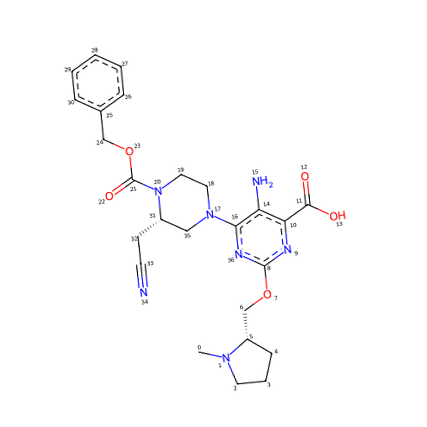 CN1CCC[C@H]1COc1nc(C(=O)O)c(N)c(N2CCN(C(=O)OCc3ccccc3)[C@@H](CC#N)C2)n1